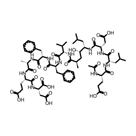 CC(=O)N[C@@H](CCC(=O)O)C(=O)N[C@@H](CC(C)C)C(=O)N[C@@H](CC(=O)O)C(=O)N[C@@H](CC(C)C)[C@@H](O)C[C@@H](C)C(=O)N[C@H](C(=O)N[C@@H](Cc1ccccc1)C(=O)N[C@@H](Cc1ccccc1)C(=O)N[C@@H](C)C(=O)N[C@@H](CCC(=O)O)C(=O)N[C@@H](CC(=O)O)C(=O)O)C(C)C